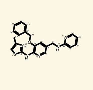 Cc1csc(Nc2ncc(CNc3ccccn3)cc2OCc2ccccc2)n1